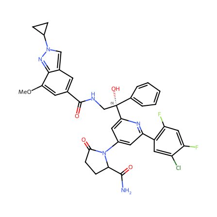 COc1cc(C(=O)NC[C@@](O)(c2ccccc2)c2cc(N3C(=O)CCC3C(N)=O)cc(-c3cc(Cl)c(F)cc3F)n2)cc2cn(C3CC3)nc12